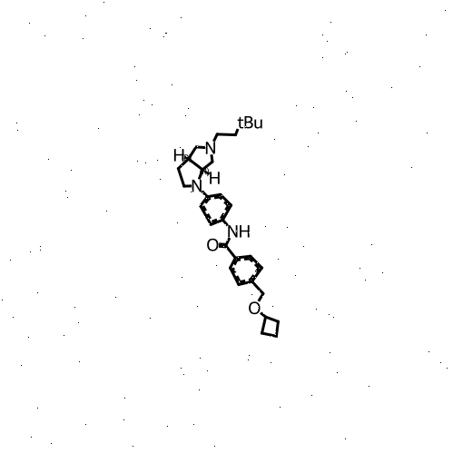 CC(C)(C)CCN1C[C@H]2CCN(c3ccc(NC(=O)c4ccc(COC5CCC5)cc4)cc3)[C@H]2C1